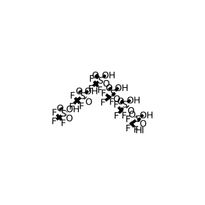 I.O=S(=O)(O)C(F)(F)F.O=S(=O)(O)C(F)(F)F.O=S(=O)(O)C(F)(F)F.O=S(=O)(O)C(F)(F)F.O=S(=O)(O)C(F)(F)F.O=S(=O)(O)C(F)(F)F